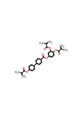 C=C(C)C(=O)Oc1ccc(-c2ccc(C(=O)Oc3ccc(OC(=O)C(=C)C)c(OC(=O)C(=C)C)c3)cc2)cc1